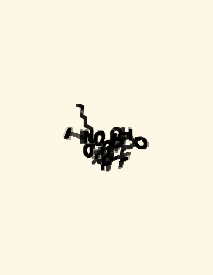 CCCCCCNC(=O)C(=O)[C@H]1C(C)C[C@H]2[C@@H]3CC(F)C4=CC(=O)C=C[C@]4(C)[C@H]3C(O)C[C@]12C